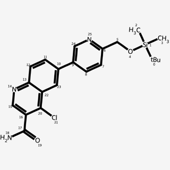 CC(C)(C)[Si](C)(C)OCc1ccc(-c2ccc3ncc(C(N)=O)c(Cl)c3c2)cn1